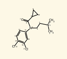 CN(C)CCN(C(=O)C1CC1)c1ccc(Cl)c(Cl)c1